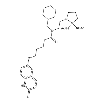 CC(=O)NC1(NC(C)=O)CCCN1CCN(CC1CCCCC1)C(=O)CCCCOc1ccc2[nH]c(=O)ccc2c1